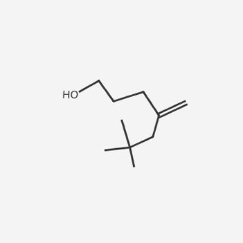 C=C(CCCO)CC(C)(C)C